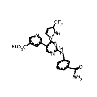 CCOC(=O)c1cncc(-c2cnc(Nc3cccc(C(N)=O)c3)nc2N2C=CC(C(F)(F)F)N2)c1